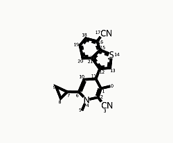 CC1=C(C#N)N(C)C(C2CC2)=CC1c1csc2c(C#N)cccc12